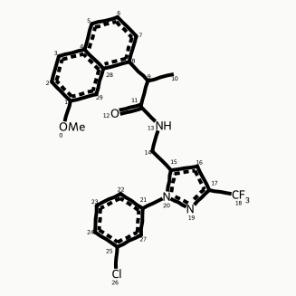 COc1ccc2cccc(C(C)C(=O)NCc3cc(C(F)(F)F)nn3-c3cccc(Cl)c3)c2c1